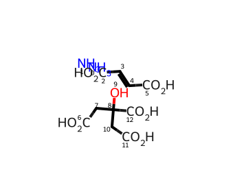 N.N.O=C(O)C=CC(=O)O.O=C(O)CC(O)(CC(=O)O)C(=O)O